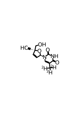 [2H]C([2H])([2H])c1cn([C@H]2C=C[C@@](C#C)(CO)O2)c(=O)[nH]c1=O